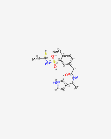 CCC(NC(=O)Cc1ccc(OC)c(S(=O)(=O)NC(=S)NC)c1)c1cc[nH]c1